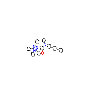 c1ccc(-c2ccc(-c3ccc(N(c4ccccc4)c4ccc5c(c4)oc4cccc(-c6nc(-c7ccccc7)nc(-c7ccccc7-c7ccccc7)n6)c45)cc3)cc2)cc1